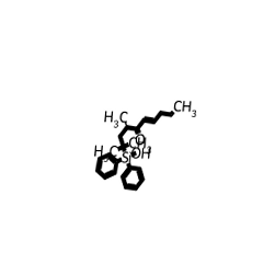 CCC/C=C/C(=O)[C@@H](C)CC(C)(C)[Si](O)(c1ccccc1)c1ccccc1